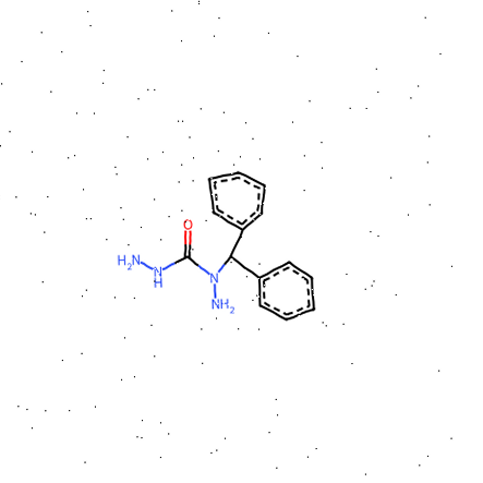 NNC(=O)N(N)C(c1ccccc1)c1ccccc1